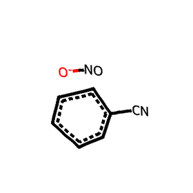 N#Cc1ccccc1.O=[NH+][O-]